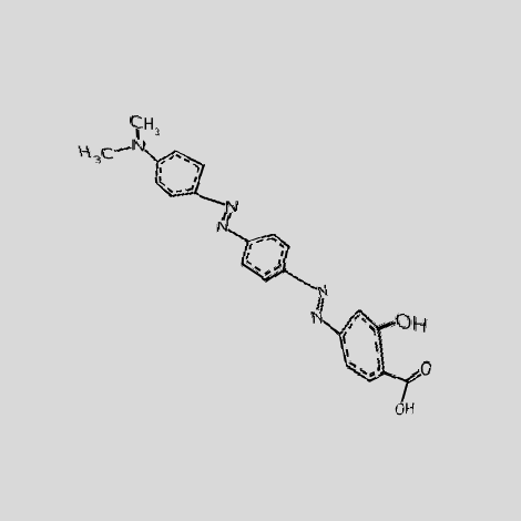 CN(C)c1ccc(N=Nc2ccc(N=Nc3ccc(C(=O)O)c(O)c3)cc2)cc1